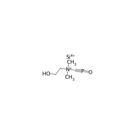 C[N+](C)(C#P=O)CCO.[Si+4]